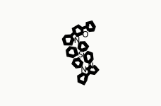 c1ccc([Si](c2ccccc2)(c2cccc(-n3c4ccccc4c4cccnc43)c2)c2cccc(-n3c4ccccc4c4ccc5c6ccccc6oc5c43)c2)cc1